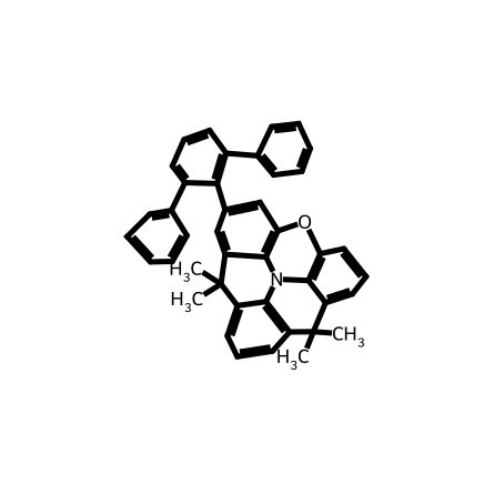 CC1(C)c2cccc3c2N2c4c(cc(-c5c(-c6ccccc6)cccc5-c5ccccc5)cc4C(C)(C)c4cccc1c42)O3